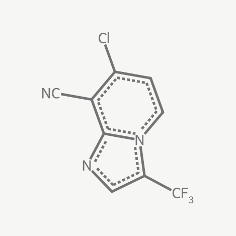 N#Cc1c(Cl)ccn2c(C(F)(F)F)cnc12